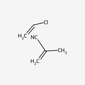 C=C(C)C#N.C=CCl